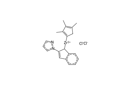 CC1=C(C)C(C)=[C]([Zr+2][CH]2C(n3cccn3)=Cc3ccccc32)C1.[Cl-].[Cl-]